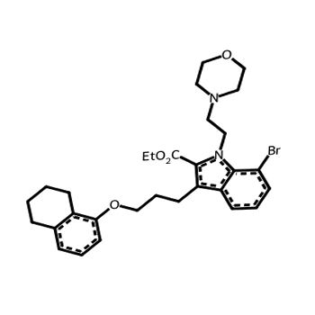 CCOC(=O)c1c(CCCOc2cccc3c2CCCC3)c2cccc(Br)c2n1CCN1CCOCC1